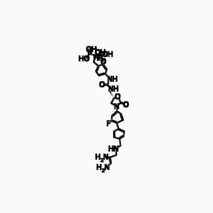 N/C=C(\N)CNCc1ccc(-c2ccc(N3C[C@H](CNC(=O)Nc4ccc(CC(O)(P(O)O)[PH](=O)O)cc4)OC3=O)cc2F)cc1